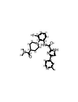 Cc1cc(-c2c[nH]c(C(=O)Nc3cccc(F)c3N3CCC(C(=O)N(C)C)CC3)n2)ccn1